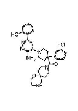 Cl.Nc1nnc(-c2ccccc2O)cc1N1CCC(C(=O)N2CCC3(CC2)CNCCO3)(c2ccccc2)CC1